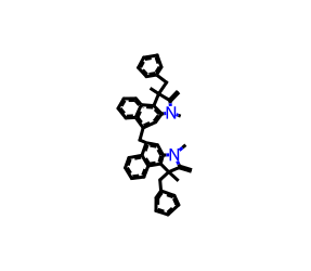 C=C1N(C)c2cc(Cc3cc4c(c5ccccc35)C(C)(Cc3ccccc3)C(=C)N4C)c3ccccc3c2C1(C)Cc1ccccc1